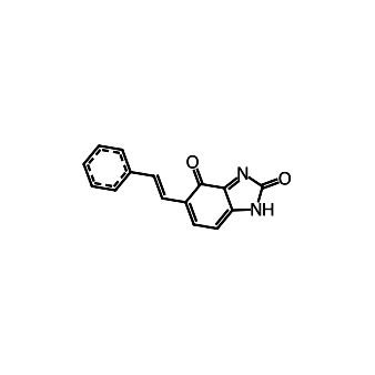 O=C1N=C2C(=O)C(C=Cc3ccccc3)=CC=C2N1